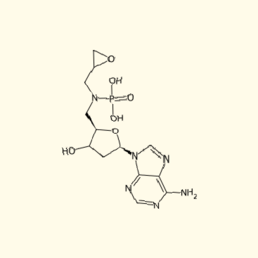 Nc1ncnc2c1ncn2[C@H]1CC(O)[C@@H](CN(CC2CO2)P(=O)(O)O)O1